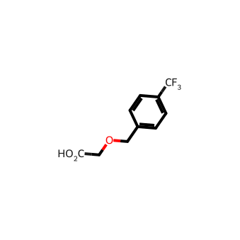 O=C(O)COCc1ccc(C(F)(F)F)cc1